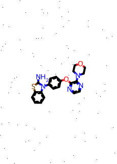 NC1Sc2ccccc2N1c1ccc(Oc2nccnc2N2CCOCC2)cc1